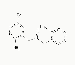 Nc1ccccc1CC(=O)Cc1cc(Br)ccc1N